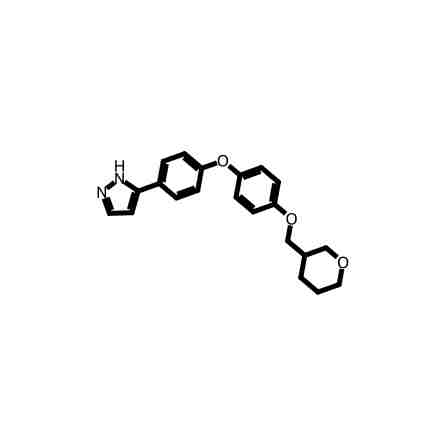 c1cc(-c2ccc(Oc3ccc(OCC4CCCOC4)cc3)cc2)[nH]n1